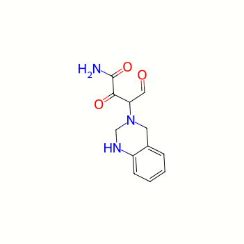 NC(=O)C(=O)C(C=O)N1CNc2ccccc2C1